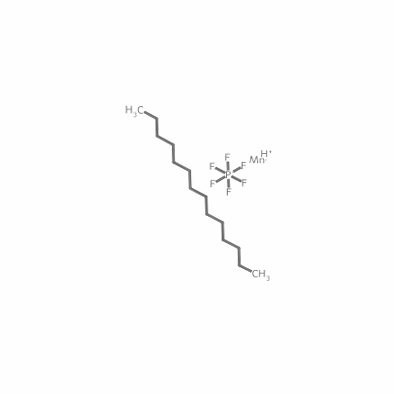 CCCCCCCCCCCCCC.F[P-](F)(F)(F)(F)F.[H+].[Mn]